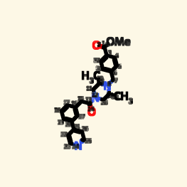 COC(=O)c1ccc(CN2[C@H](C)CN(C(=O)Cc3cccc(-c4ccncc4)c3)C[C@@H]2C)cc1